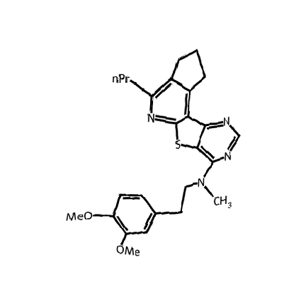 CCCc1nc2sc3c(N(C)CCc4ccc(OC)c(OC)c4)ncnc3c2c2c1CCC2